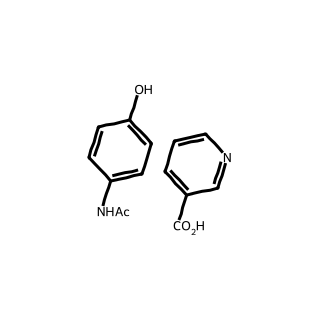 CC(=O)Nc1ccc(O)cc1.O=C(O)c1cccnc1